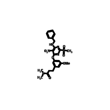 COc1cc(CCC(=O)N(C)C)cc(Oc2nc(S(C)(=O)=O)nc(NCc3ccccc3)c2[N+](=O)[O-])c1